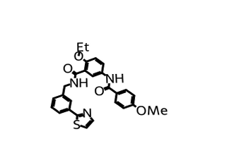 CCOc1ccc(NC(=O)c2ccc(OC)cc2)cc1C(=O)NCc1cccc(-c2nccs2)c1